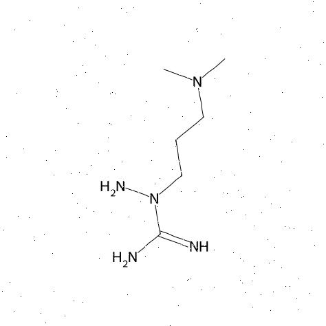 CN(C)CCCN(N)C(=N)N